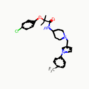 CC(C)(Oc1ccc(Cl)cc1)C(=O)NC1CCN(Cc2ccn(-c3ccc(C(F)(F)F)cc3)c2)CC1